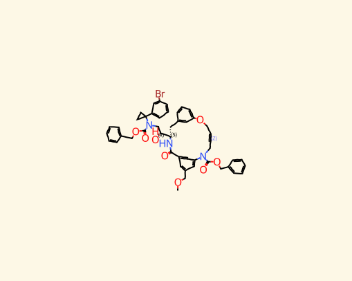 COCc1cc2cc(c1)N(C(=O)OCc1ccccc1)C/C=C\COc1cccc(c1)C[C@@H]([C@H](O)CN(C(=O)OCc1ccccc1)C1(c3cccc(Br)c3)CC1)NC2=O